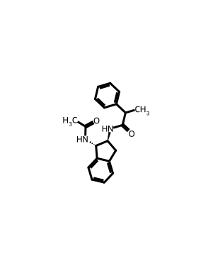 CC(=O)N[C@H]1c2ccccc2C[C@@H]1NC(=O)C(C)c1ccccc1